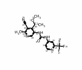 CO[C@H](C)c1c(NC(=O)Nc2ccnc(C(F)(F)F)c2)cnc(C)c1C#N